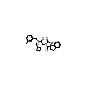 Cc1cccc(CN(C(=O)CN2C(=O)NC3(CCc4ccccc43)C2=O)[C@@H](C)C2CCC2)c1